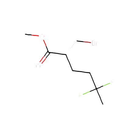 COC(=O)[C@H](CBr)CCC(C)(F)F